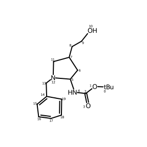 CC(C)(C)OC(=O)NC1CC(CCO)CN1Cc1ccccc1